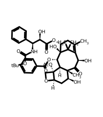 CC(=O)O[C@@]12CO[C@@H]1C[C@H](O)[C@@]1(C)C(=O)[C@H](O)C3=C(C)C[C@@H](OC(=O)[C@H](O)[C@@H](NC(=O)OC(C)(C)C)c4ccccc4)[C@@](O)([C@@H](OC(=O)c4ccccc4)[C@H]21)C3(C)C